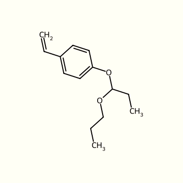 C=Cc1ccc(OC(CC)OCCC)cc1